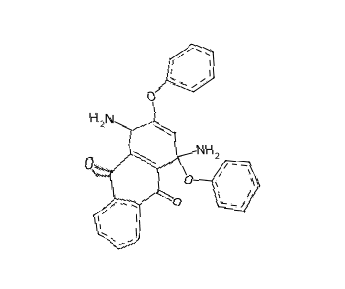 NC1C(Oc2ccccc2)=CC(N)(Oc2ccccc2)C2=C1C(=O)c1ccccc1C2=O